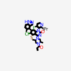 C=CC(=O)N1CC2CSc3c(Cl)c(-c4c(C)ccc5[nH]ncc45)c(F)c4c3c(nc(=O)n4-c3c(C)ccnc3C(C)C)N2CC1C